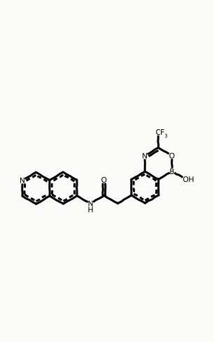 O=C(Cc1ccc2c(c1)N=C(C(F)(F)F)OB2O)Nc1ccc2cnccc2c1